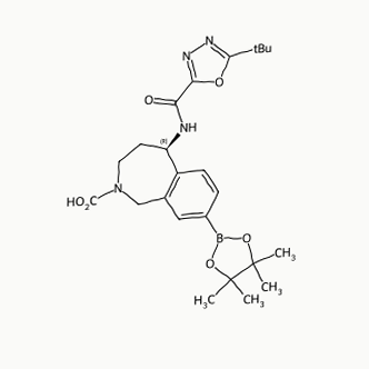 CC(C)(C)c1nnc(C(=O)N[C@@H]2CCN(C(=O)O)Cc3cc(B4OC(C)(C)C(C)(C)O4)ccc32)o1